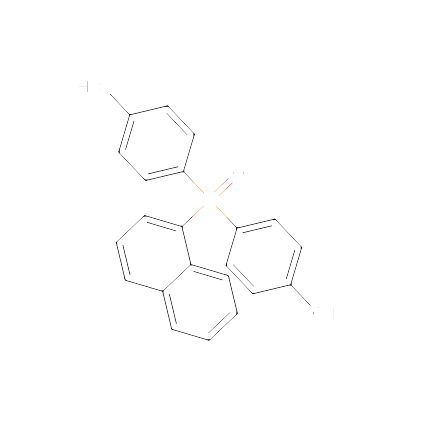 Cc1ccc(P(=O)(c2ccc(C)cc2)c2cccc3ccccc23)cc1